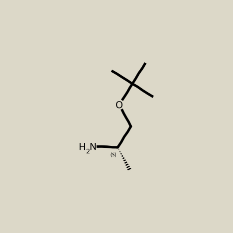 C[C@H](N)COC(C)(C)C